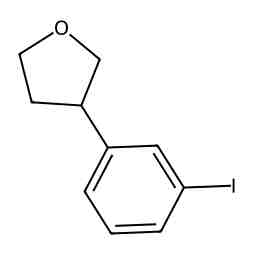 Ic1cccc(C2CCOC2)c1